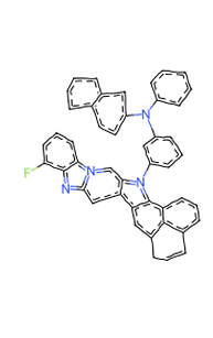 Fc1cccc2c1nc1cc3c4cc5c6c(cccc6c4n(-c4cccc(N(c6ccccc6)c6ccc7ccccc7c6)c4)c3cn12)C=CC5